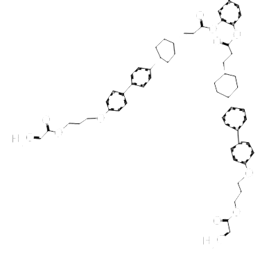 C=CC(=O)OCCCOc1ccc(-c2ccc([C@H]3CC[C@H](CCC(=O)Oc4ccc(C#N)cc4OC(=O)CC[C@H]4CC[C@H](c5ccc(-c6ccc(OCCCOC(=O)C=C)cc6)cc5)CC4)CC3)cc2)cc1